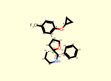 FC(F)(F)c1ccc(OC2CC2)c([C@@H]2CO[C@]3(CCCN[C@H]3c3ccccc3)C2)c1